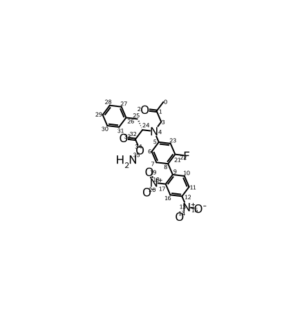 CC(=O)CN(c1ccc(-c2ccc([N+](=O)[O-])cc2[N+](=O)[O-])c(F)c1)[C@@H](Cc1ccccc1)C(=O)ON